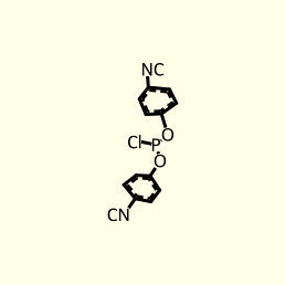 [C-]#[N+]c1ccc(OP(Cl)Oc2ccc([N+]#[C-])cc2)cc1